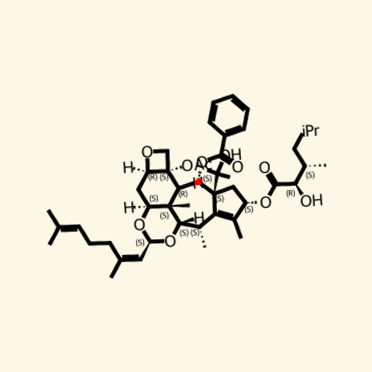 CC(=O)O[C@@]12CO[C@@H]1C[C@@H]1O[C@H](C=C(C)CCC=C(C)C)O[C@H]3[C@@H](C)C4=C(C)[C@@H](OC(=O)[C@H](O)[C@@H](C)CC(C)C)C[C@@]4(C(C)(C)O)[C@@H](OC(=O)c4ccccc4)[C@H]2[C@@]13C